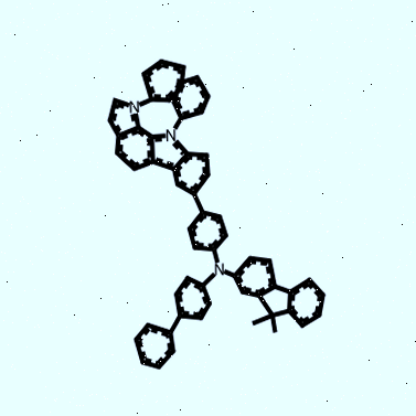 CC1(C)c2ccccc2-c2ccc(N(c3ccc(-c4ccccc4)cc3)c3ccc(-c4ccc5c(c4)c4ccc6ccn(-c7ccccc7)c6c4n5-c4ccccc4)cc3)cc21